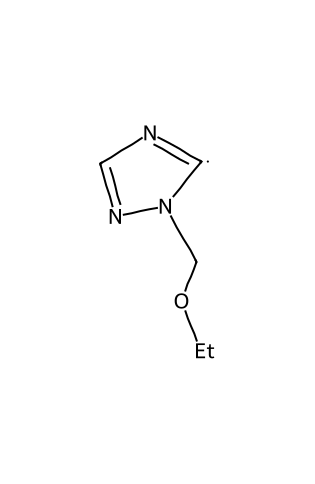 CCOCn1[c]ncn1